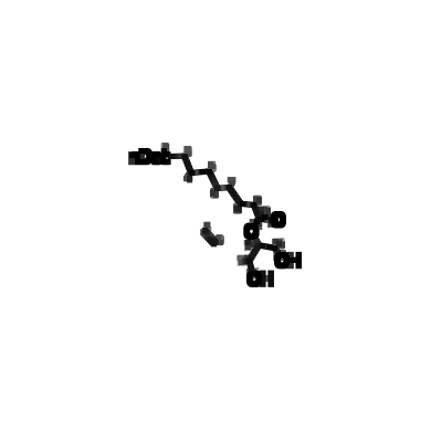 C=C.CCCCCCCCCCCCCCCCCC(=O)OC(CO)CO